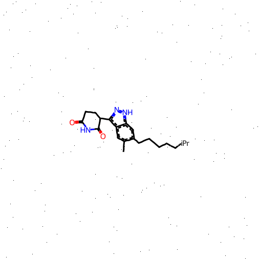 Cc1cc2c(C3CCC(=O)NC3=O)n[nH]c2cc1CCCCCC(C)C